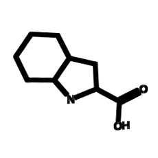 O=C(O)C1CC2CCCCC2[N]1